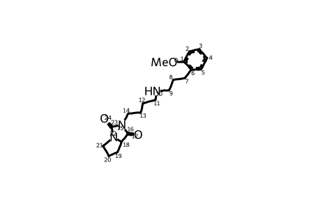 COc1ccccc1CCCNCCCCN1C(=O)C2CCCN2C1=O